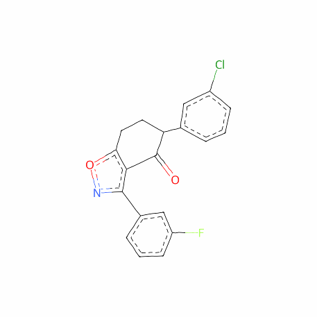 O=C1c2c(-c3cccc(F)c3)noc2CCC1c1cccc(Cl)c1